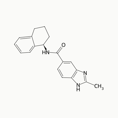 Cc1nc2cc(C(=O)N[C@@H]3CCCc4ccccc43)ccc2[nH]1